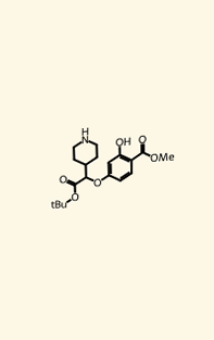 COC(=O)c1ccc(OC(C(=O)OC(C)(C)C)C2CCNCC2)cc1O